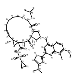 COc1ccc2c(O[C@@H]3C[C@H]4C(=O)N[C@]5(C(=O)NS(=O)(=O)C6CC6)C[C@H]5/C=C\CCCCO[C@H](CC(C)C)C(=O)N4C3)cc(-c3nc(C(C)C)cs3)nc2c1C